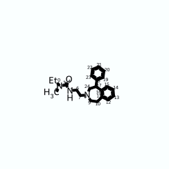 CCN(C)C(=O)NCCN1CCc2ccccc2C(c2ccccc2)C1